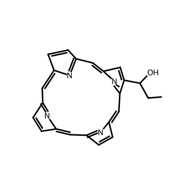 CCC(O)C1=CC2=CC3=NC(=CC4=NC(=CC5=NC(=CC1=N2)C=C5)C=C4)C=C3